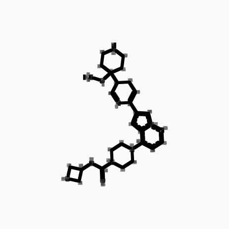 COC1(C2C=NC(c3cc4c(N5CCN(C(=O)OC6COC6)CC5)ccnn4c3)=CC2)CCNCC1